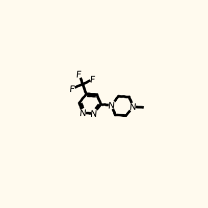 CN1CCN(c2cc(C(F)(F)F)cnn2)CC1